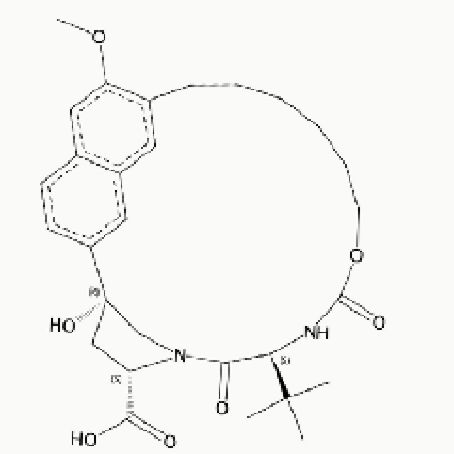 COc1cc2ccc3cc2cc1CCCCCCOC(=O)N[C@@H](C(C)(C)C)C(=O)N1C[C@@]3(O)C[C@H]1C(=O)O